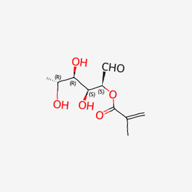 C=C(C)C(=O)O[C@H](C=O)[C@@H](O)[C@H](O)[C@@H](C)O